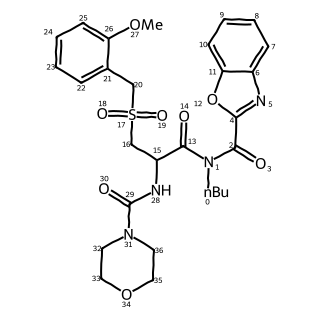 CCCCN(C(=O)c1nc2ccccc2o1)C(=O)C(CS(=O)(=O)Cc1ccccc1OC)NC(=O)N1CCOCC1